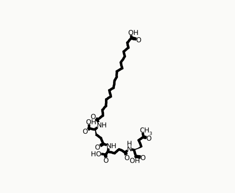 CC(=O)CC[C@H](NC(=O)CCC(NC(=O)CC[C@H](NC(=O)CCCCCCCCCCCCCCCCC(=O)O)C(=O)O)C(=O)O)C(=O)O